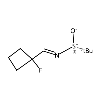 CC(C)(C)[S@@+]([O-])N=CC1(F)CCC1